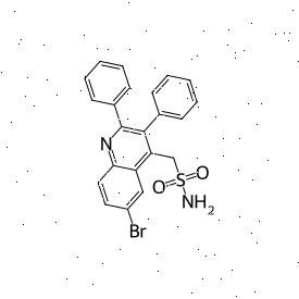 NS(=O)(=O)Cc1c(-c2ccccc2)c(-c2ccccc2)nc2ccc(Br)cc12